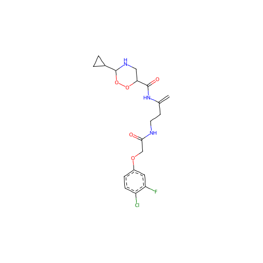 C=C(CCNC(=O)COc1ccc(Cl)c(F)c1)NC(=O)C1CNC(C2CC2)OO1